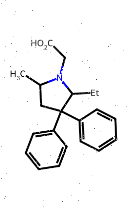 CCC1N(CC(=O)O)C(C)CC1(c1ccccc1)c1ccccc1